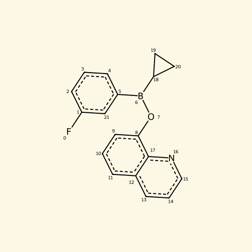 Fc1cccc(B(Oc2cccc3cccnc23)C2CC2)c1